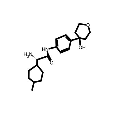 CC1CCC([C@H](N)C(=O)Nc2ccc(C3(O)CCOCC3)cc2)CC1